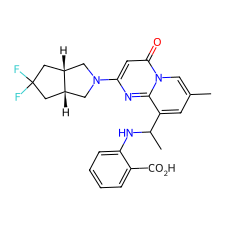 Cc1cc(C(C)Nc2ccccc2C(=O)O)c2nc(N3C[C@@H]4CC(F)(F)C[C@@H]4C3)cc(=O)n2c1